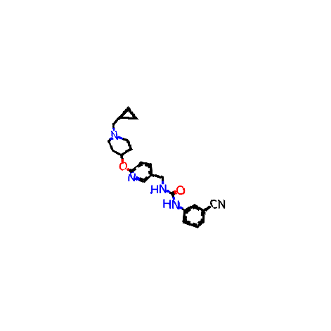 N#Cc1cccc(NC(=O)NCc2ccc(OC3CCN(CC4CC4)CC3)nc2)c1